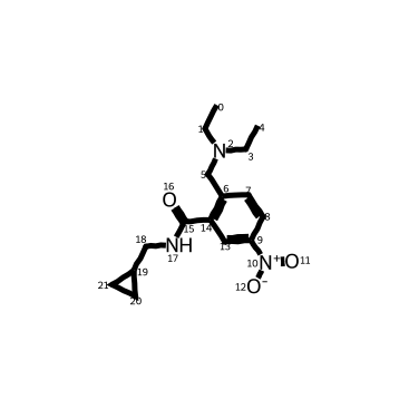 CCN(CC)Cc1ccc([N+](=O)[O-])cc1C(=O)NCC1CC1